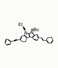 CCC#Cn1c2c(c3c4ccc(/C=C/C5=CC=CCC5)cc4n(CCCC)c31)CCC(C#Cc1ccccc1)=C2